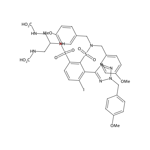 COc1ccc(CN(Cc2ccc(OC)cc2)S(=O)(=O)c2c(S(=O)(=O)NC(CNC(=O)O)CNC(=O)O)ccc(I)c2-c2nnn(Cc3ccc(OC)cc3)n2)cc1